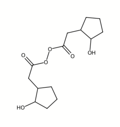 O=C(CC1CCCC1O)OOC(=O)CC1CCCC1O